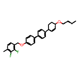 CCCCOC1C=CC(c2ccc(-c3ccc(OCc4ccc(C)c(F)c4F)cc3)cc2)CC1